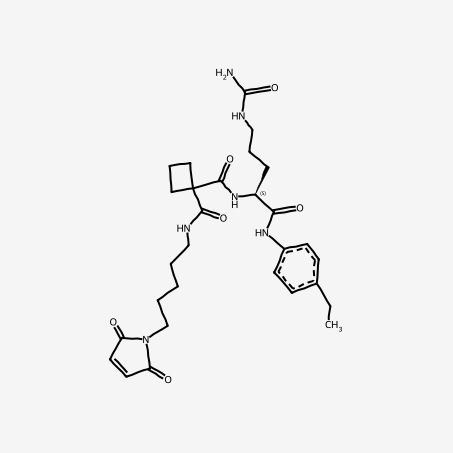 CCc1ccc(NC(=O)[C@H](CCCNC(N)=O)NC(=O)C2(C(=O)NCCCCCN3C(=O)C=CC3=O)CCC2)cc1